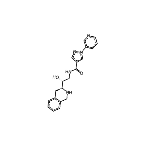 O=C(NC[C@@H](O)[C@@H]1Cc2ccccc2CN1)c1cnn(-c2cccnc2)c1